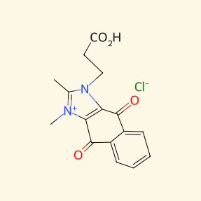 Cc1n(CCC(=O)O)c2c([n+]1C)C(=O)c1ccccc1C2=O.[Cl-]